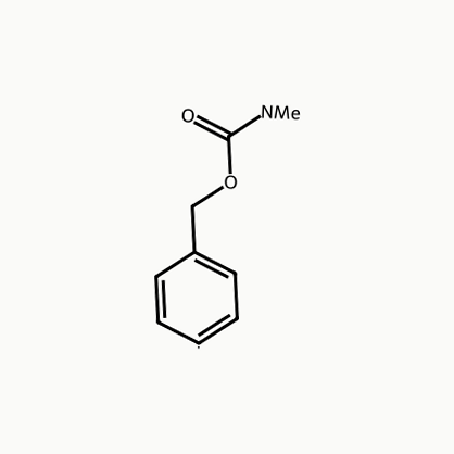 CNC(=O)OCc1cc[c]cc1